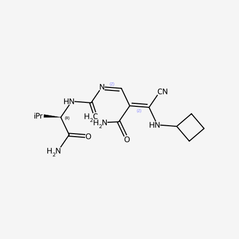 C=C(/N=C\C(C(N)=O)=C(/C#N)NC1CCC1)N[C@@H](C(N)=O)C(C)C